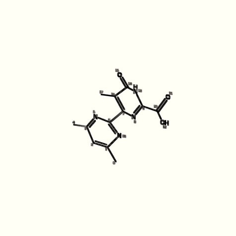 Cc1cc(C)nc(-c2nc(C(=O)O)[nH]c(=O)c2C)n1